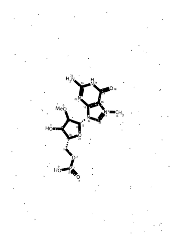 COC1C(O)[C@@H](CO[PH](=O)O)O[C@H]1n1c[n+](C)c2c(=O)[nH]c(N)nc21